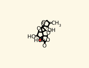 C[C@@H]1COC(CC23C4OC5OC(=O)[C@H](O)C52[C@H](C(C)(C)C)[C@@H](O)C3OC4=O)[C@@H]1O